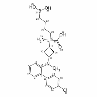 CN(c1ccccc1-c1ccc(Cl)cc1)[C@H]1C[C@H]([C@@](N)(CCCCB(O)O)C(=O)O)C1